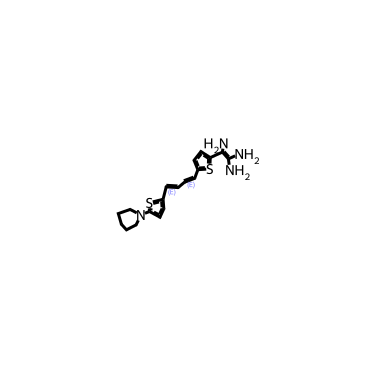 NC(N)=C(N)c1ccc(/C=C/C=C/c2ccc(N3CCCCC3)s2)s1